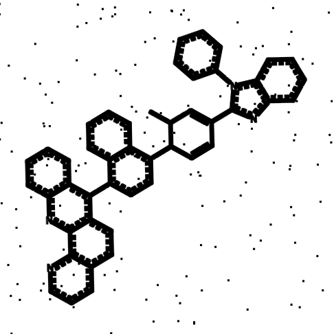 CC1C=C(c2nc3ccccc3n2-c2ccccc2)C=CC1c1ccc(-c2c3ccccc3nc3c2ccc2cccnc23)c2ccccc12